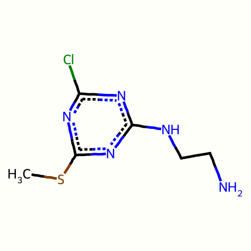 CSc1nc(Cl)nc(NCCN)n1